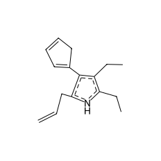 C=CCc1[nH]c(CC)c(CC)c1C1=CC=CC1